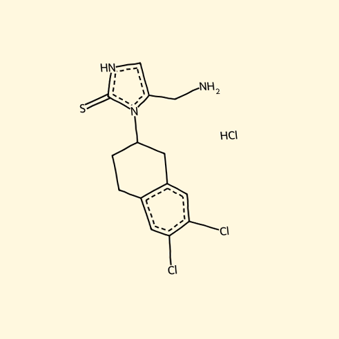 Cl.NCc1c[nH]c(=S)n1C1CCc2cc(Cl)c(Cl)cc2C1